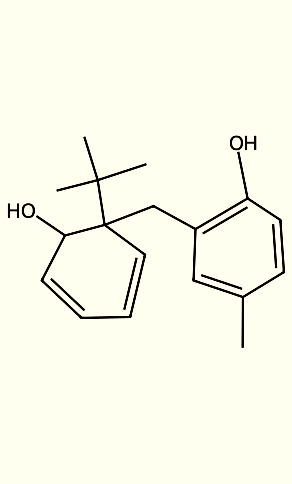 Cc1ccc(O)c(CC2(C(C)(C)C)C=CC=CC2O)c1